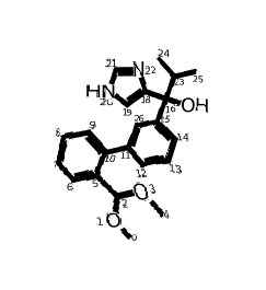 COC(OC)c1ccccc1-c1cccc(C(O)(c2c[nH]cn2)C(C)C)c1